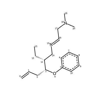 C=CC[C@@H](Oc1ccccc1)[C@H](CC)C/N=C/CN(C)C